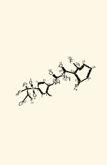 Cc1cc(S(=O)(=O)C(F)(F)C(F)Cl)ccc1NC(=O)NC(=O)c1c(F)cccc1F